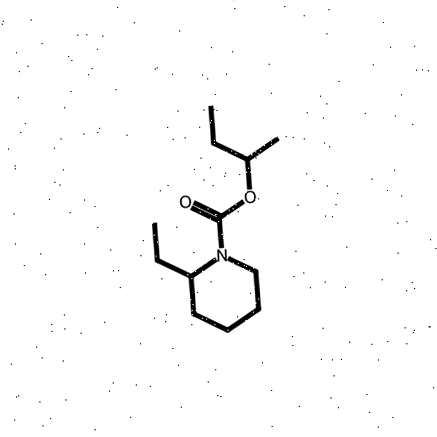 CCC(C)OC(=O)N1CCCCC1CC